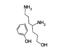 NCCCC(N)CCCO.Oc1ccccc1